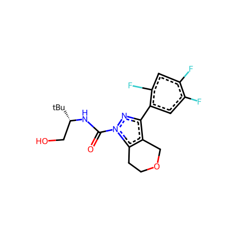 CC(C)(C)[C@@H](CO)NC(=O)n1nc(-c2cc(F)c(F)cc2F)c2c1CCOC2